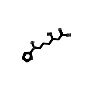 O=C(O)CC(O)CCC[S+]([O-])c1cccs1